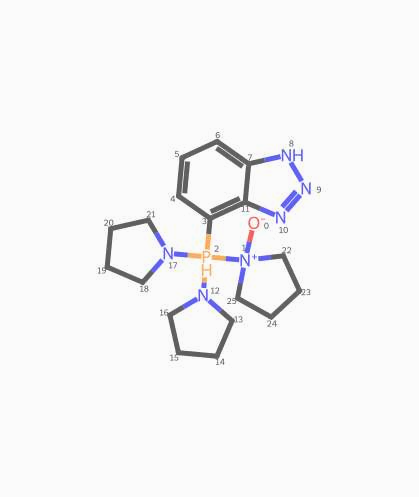 [O-][N+]1([PH](c2cccc3[nH]nnc23)(N2CCCC2)N2CCCC2)CCCC1